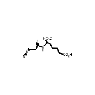 [N-]=[N+]=NCC(=O)NC(CCCCC(=O)O)C(=O)O